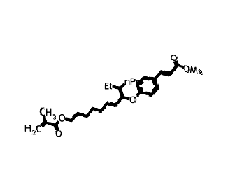 C=C(C)C(=O)OCCCCCCCC(Oc1ccc(C=CC(=O)OC)cc1)C(CC)CCC